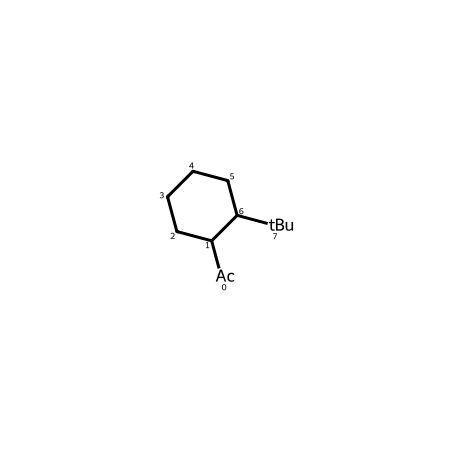 CC(=O)C1CCCCC1C(C)(C)C